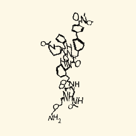 CON(C)C(=O)c1ccc(-c2ccc(C[C@H](NC(=O)[C@]3(Cc4ccccc4)CCCN(C(C)=O)C3)C(=O)NCc3ccccc3CC(=O)N[C@@H](CCNC(C)=O)C(=O)NCCOCCN)cc2)cc1